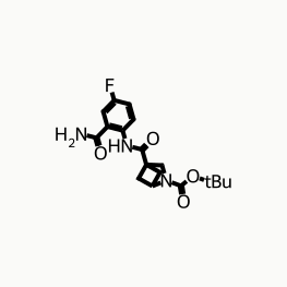 CC(C)(C)OC(=O)N1CC2(C(=O)Nc3ccc(F)cc3C(N)=O)CC1C2